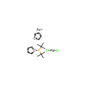 CC(C)(C)P([c-]1cccc1)C(C)(C)C.[Cl][Pd][Cl].[Fe+2].c1cc[cH-]c1